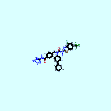 O=C(Nc1nn[nH]n1)c1ccc(CN(C(=O)Nc2nc3c(F)cc(C(F)(F)F)cc3s2)c2ccc(C3=CCCCC3)cc2)cc1